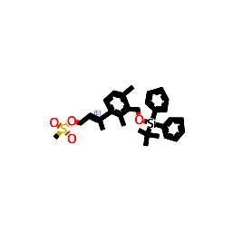 C/C(=C\COS(C)(=O)=O)c1ccc(C)c(CO[Si](c2ccccc2)(c2ccccc2)C(C)(C)C)c1C